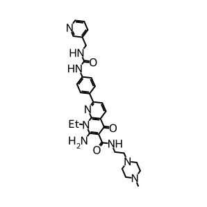 CCn1c(N)c(C(=O)NCCN2CCN(C)CC2)c(=O)c2ccc(-c3ccc(NC(=O)NCc4cccnc4)cc3)nc21